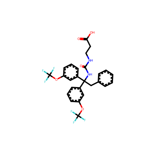 O=C(O)CCNC(=O)NC(Cc1ccccc1)(c1cccc(OC(F)(F)F)c1)c1cccc(OC(F)(F)F)c1